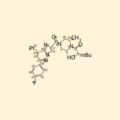 CCCCC(O)C(=O)N1CCN(C(=O)c2cn3nc(-c4ccc(F)cc4)cc(C(C)C)c3n2)C[C@@H]1C